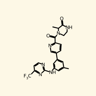 Cc1cc(Nc2nccc(C(F)(F)F)n2)cc(-c2ccc(C(=O)N3CCNC(=O)C3C)nc2)c1